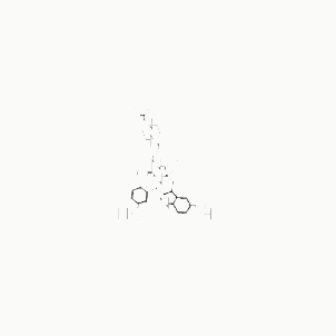 CC(=O)N1CCN(CCN2C(=O)N3C(c4cccc(O)c4)c4[nH]c5ccc(OC(F)F)cc5c4CC3(C)C2=O)CC1